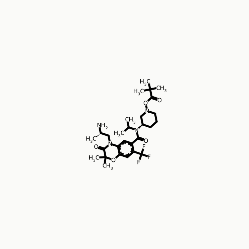 CC(C)N(C(=O)c1cc2c(cc1C(F)(F)F)OC(C)(C)C(=O)N2C[C@H](C)N)[C@@H]1CCCN(OC(=O)C(C)(C)C)C1